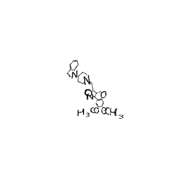 COc1cc2c(cc1OC)C1=NOC(CN3CCC(n4ccc5ccccc54)CC3)C1CO2